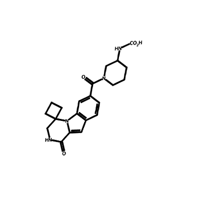 O=C(O)NC1CCCN(C(=O)c2ccc3cc4n(c3c2)C2(CCC2)CNC4=O)C1